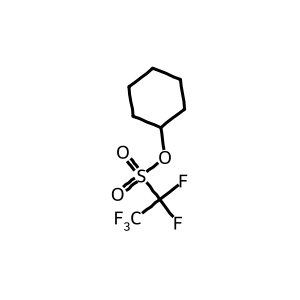 O=S(=O)(OC1CCCCC1)C(F)(F)C(F)(F)F